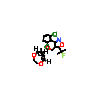 C[C@H]1C[C@@H]2C[C@@H](OCc3c(-c4c(Cl)cccc4Cl)noc3C(C)(C)F)C[C@H]1OCCO2